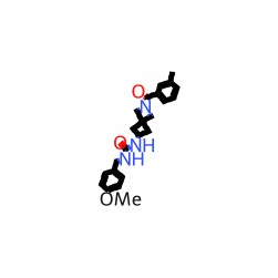 COc1ccc(CNC(=O)NC2CC3(C2)CN(C(=O)c2cccc(C)c2)C3)cc1